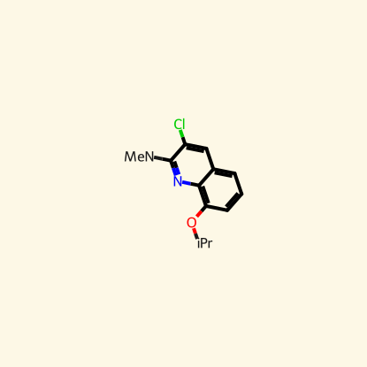 CNc1nc2c(OC(C)C)cccc2cc1Cl